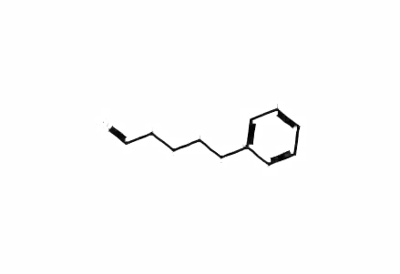 N=CCCCCc1cc[c]cc1